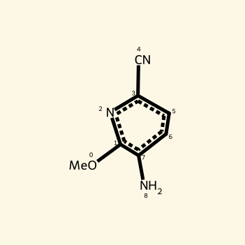 COc1nc(C#N)ccc1N